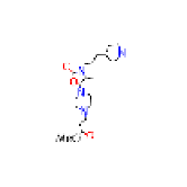 COC(=O)CCN1CCN(C2OC(=O)N(CCCC3CCN(C)CC3)C2C)CC1